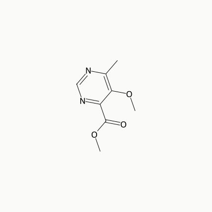 COC(=O)c1ncnc(C)c1OC